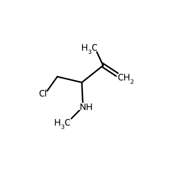 C=C(C)C(CCl)NC